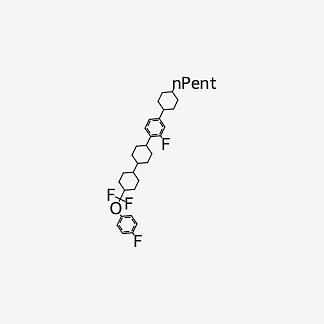 CCCCCC1CCC(c2ccc(C3CCC(C4CCC(C(F)(F)Oc5ccc(F)cc5)CC4)CC3)c(F)c2)CC1